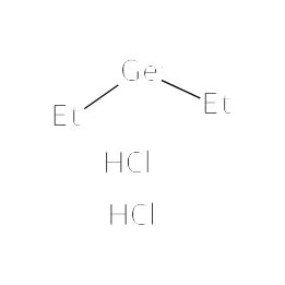 C[CH2][Ge][CH2]C.Cl.Cl